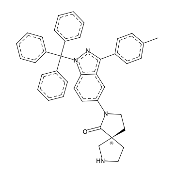 Cc1ccc(-c2nn(C(c3ccccc3)(c3ccccc3)c3ccccc3)c3ccc(N4CC[C@]5(CCNC5)C4=O)cc23)cc1